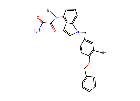 CCN(C(=O)C(N)=O)c1cccc2c1ccn2Cc1ccc(OCc2ccccc2)c(C(C)C)c1